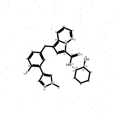 Cn1cc(-c2cc(Cc3cc(C(=O)N[C@H]4CCCC[C@@H]4O)n4ncccc34)ccc2F)cn1